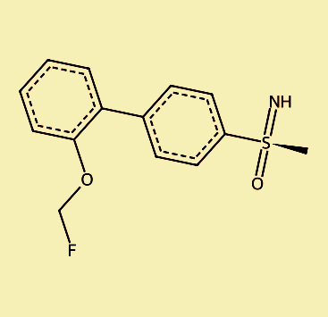 C[S@@](=N)(=O)c1ccc(-c2ccccc2OCF)cc1